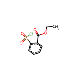 CCOC(=O)c1ccccc1S(=O)(=O)Cl